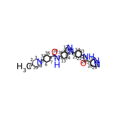 CC1CCN(c2ccc(C(=O)Nc3ccc4c(cnn4-c4ccc(NC(=O)c5ccnnc5)cc4)c3)cc2)CC1